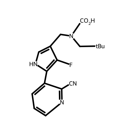 CC(C)(C)CN(Cc1c[nH]c(-c2cccnc2C#N)c1F)C(=O)O